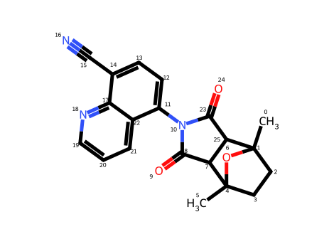 CC12CCC(C)(O1)C1C(=O)N(c3ccc(C#N)c4ncccc34)C(=O)C12